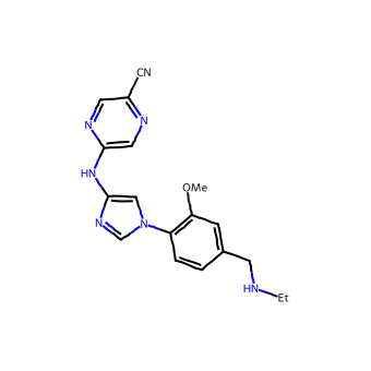 CCNCc1ccc(-n2cnc(Nc3cnc(C#N)cn3)c2)c(OC)c1